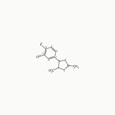 CC1CN(C)CC1c1ccc(F)c(Cl)c1